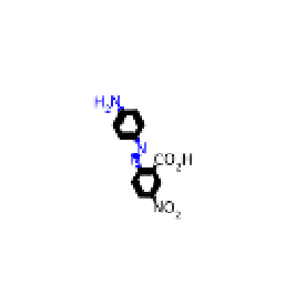 Nc1ccc(/N=N/c2ccc([N+](=O)[O-])cc2C(=O)O)cc1